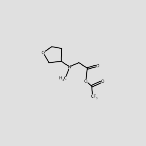 CN(CC(=O)OC(=O)C(F)(F)F)C1CCOC1